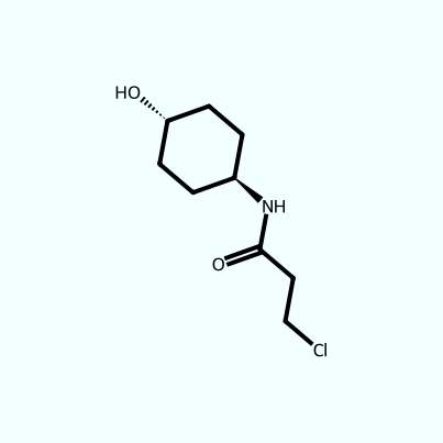 O=C(CCCl)N[C@H]1CC[C@H](O)CC1